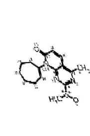 Cc1nc([S+](C)[O-])nc2c1ccc(=O)n2C1CCCCCC1